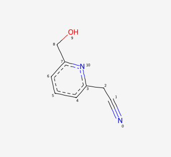 N#CCc1cccc(CO)n1